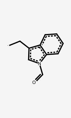 [CH2]Cc1cn(C=O)c2ccccc12